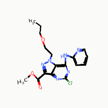 CCCOCCn1nc(C(=O)OC)c2nc(Cl)nc(Nc3ccccn3)c21